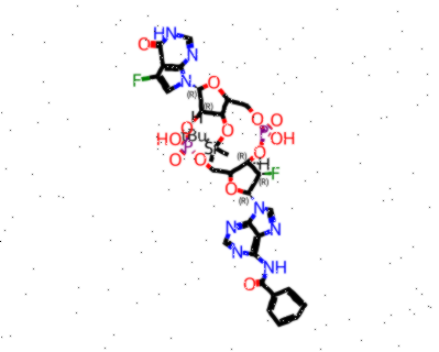 CC(C)(C)[Si](C)(C)OC1C2COP(=O)(O)O[C@@H]3C(COP(=O)(O)O[C@H]1[C@H](n1cc(F)c4c(=O)[nH]cnc41)O2)O[C@@H](n1cnc2c(NC(=O)c4ccccc4)ncnc21)[C@@H]3F